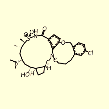 C[C@@H]1[C@@H](C)C[C@@H](N(C)C)C[C@@H](O)[C@@H]2CC[C@H]2CN2CCCCc3cc(Cl)ccc3COc3ccc(cc32)C(=O)NS1(=O)=O